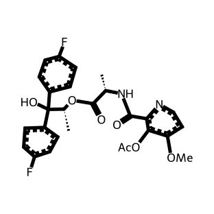 COc1ccnc(C(=O)N[C@@H](C)C(=O)O[C@H](C)C(O)(c2ccc(F)cc2)c2ccc(F)cc2)c1OC(C)=O